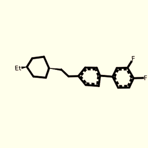 CC[C@H]1CC[C@@H](CCc2ccc(-c3ccc(F)c(F)c3)cc2)CC1